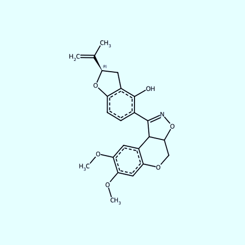 C=C(C)[C@H]1Cc2c(ccc(C3=NOC4COc5cc(OC)c(OC)cc5C34)c2O)O1